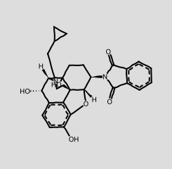 O=C1c2ccccc2C(=O)N1[C@@H]1CCC2(O)[C@H]3[C@@H](O)c4ccc(O)c5c4[C@@]2(CCN3CC2CC2)[C@H]1O5